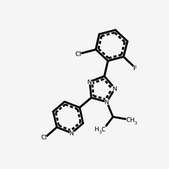 CC(C)n1nc(-c2c(F)cccc2Cl)nc1-c1ccc(Cl)nc1